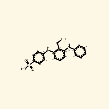 O=S(=O)(O)c1ccc(Nc2[c]ccc(Nc3cc[c]cc3)c2CO)cc1